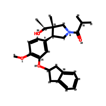 COc1ccc([C@@H]2CN(C(=O)[C](C)C)C[C@@]2(C)[C@@H](C)O)cc1OC1Cc2ccccc2C1